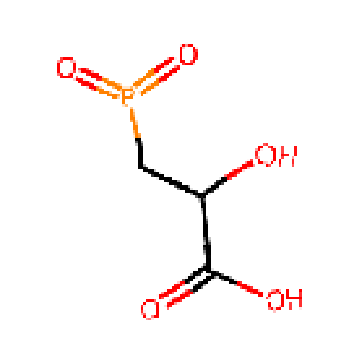 O=C(O)C(O)CP(=O)=O